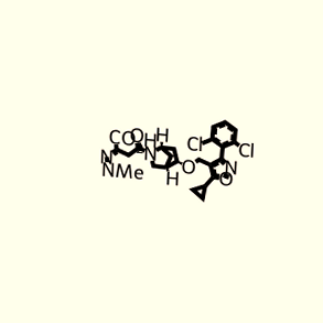 CN/N=C(\CC(=O)N1C[C@@H]2C[C@H]1C[C@H]2OCc1c(-c2c(Cl)cccc2Cl)noc1C1CC1)C(=O)O